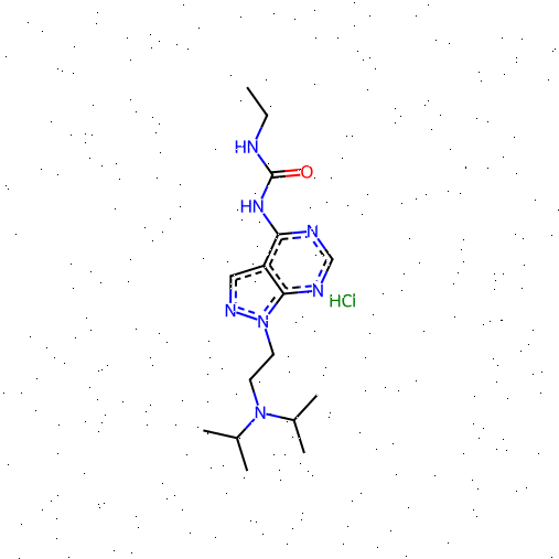 CCNC(=O)Nc1ncnc2c1cnn2CCN(C(C)C)C(C)C.Cl